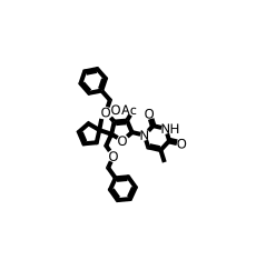 CC(=O)OC1=C(OCc2ccccc2)C(COCc2ccccc2)(C2(C)CC=CC2)OC1n1cc(C)c(=O)[nH]c1=O